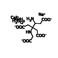 NC(CC(=O)[O-])C(CC(=O)[O-])(CC(=O)[O-])NCC(=O)[O-].O.O.[Ca+2].[Na+].[Na+]